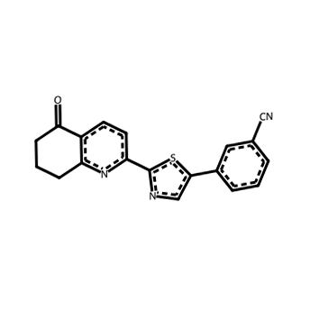 N#Cc1cccc(-c2cnc(-c3ccc4c(n3)CCCC4=O)s2)c1